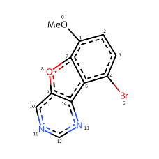 COc1ccc(Br)c2c1oc1cncnc12